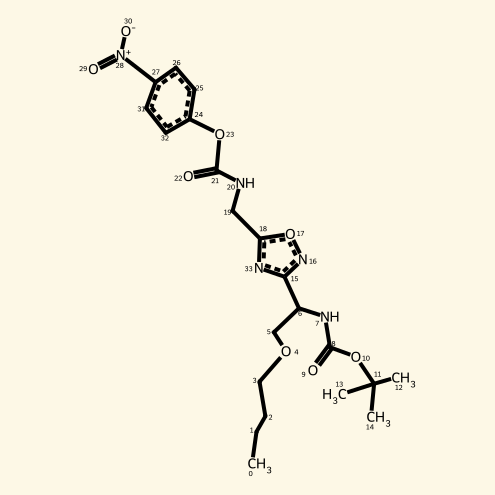 CCCCOCC(NC(=O)OC(C)(C)C)c1noc(CNC(=O)Oc2ccc([N+](=O)[O-])cc2)n1